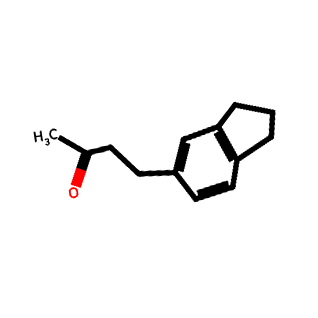 CC(=O)CCc1ccc2c(c1)CCC2